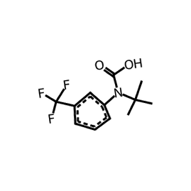 CC(C)(C)N(C(=O)O)c1cccc(C(F)(F)F)c1